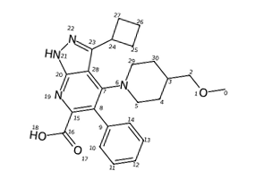 COCC1CCN(c2c(-c3ccccc3)c(C(=O)O)nc3[nH]nc(C4CCC4)c23)CC1